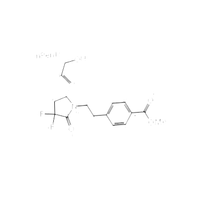 CCCCC[C@H](O)C=C[C@H]1CC(F)(F)C(=O)N1CCc1ccc(C(=O)OC)cc1